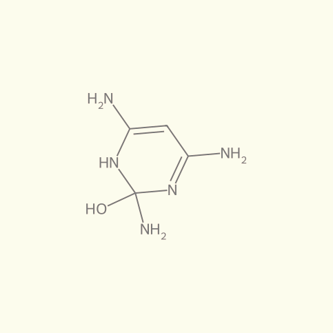 NC1=CC(N)=NC(N)(O)N1